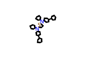 c1ccc(-c2ccc(N(c3ccccc3)c3ccc(N(c4ccccc4)c4ccc(-c5ccccc5)cc4)s3)cc2)cc1